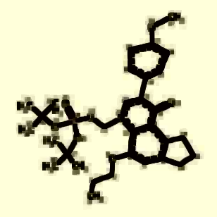 CCCOc1cc2c(c3c(=O)c(-c4ccc(OC)cc4)cn(COP(=O)(OC(C)(C)C)OC(C)(C)C)c13)CCC2